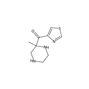 CC1(C(=O)c2cscn2)CNCCN1